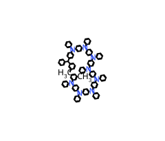 Cc1cccc(C(c2ccccc2)c2ccc(N(c3ccccc3)c3ccc(N(c4ccccc4)c4ccc(N(c5ccccc5)c5ccc(N(c6ccccc6)c6ccc(N(c7ccccc7)c7ccc(N(c8ccccc8)c8ccc(N(c9ccccc9)c9ccc(N(c%10ccccc%10)c%10cccc(C)c%10)cc9)cc8)cc7)cc6)cc5)cc4)cc3)cc2)c1